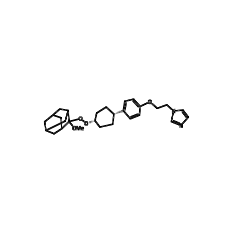 COC1(OO[C@H]2CC[C@@H](c3ccc(OCCn4ccnc4)cc3)CC2)C2CC3CC(C2)CC1C3